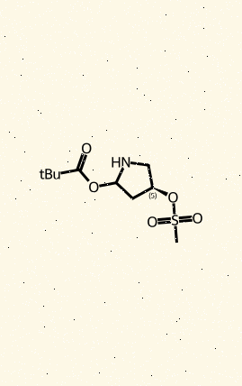 CC(C)(C)C(=O)OC1C[C@H](OS(C)(=O)=O)CN1